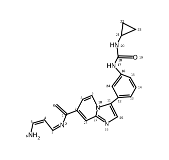 C=C(/N=C\C=C/N)c1ccn2c(-c3cccc(NC(=O)NC4CC4)c3)cnc2c1